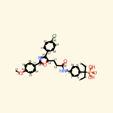 CCC(CC)(c1ccc(NC(=O)CCc2oc(-c3ccc(OC)cc3)nc2-c2ccc(Cl)cc2)cc1)P(=O)(O)O